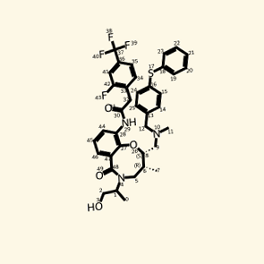 CC(CO)N1C[C@@H](C)[C@@H](CN(C)Cc2ccc(Sc3ccccc3)cc2)Oc2c(NC(=O)Cc3ccc(C(F)(F)F)cc3F)cccc2C1=O